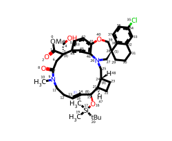 COC(=O)[C@]1(CO)CC(=O)N(C)CC/C=C/[C@H](O[Si](C)(C)C(C)(C)C)[C@@H]2CC[C@H]2CN2C[C@@]3(CCCc4cc(Cl)ccc43)COc3ccc1cc32